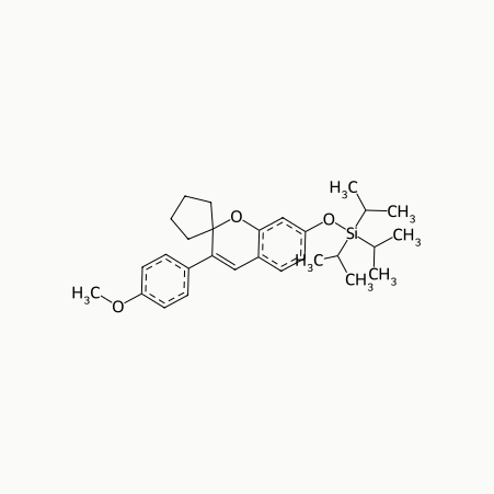 COc1ccc(C2=Cc3ccc(O[Si](C(C)C)(C(C)C)C(C)C)cc3OC23CCCC3)cc1